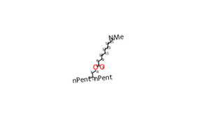 CCCCCC(CCCCC)CCOC(=O)CCCCCCCCNC